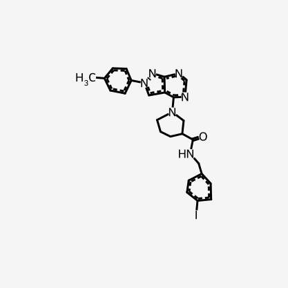 Cc1ccc(-n2cc3c(N4CCCC(C(=O)NCc5ccc(I)cc5)C4)ncnc3n2)cc1